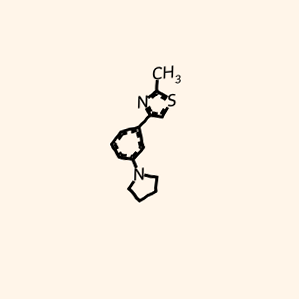 Cc1nc(-c2cccc(N3CCCC3)c2)cs1